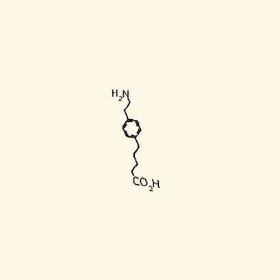 NCCc1ccc(CCCCC(=O)O)cc1